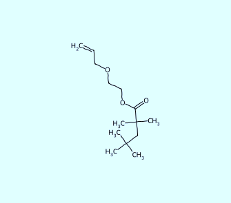 C=CCOCCOC(=O)C(C)(C)CC(C)(C)C